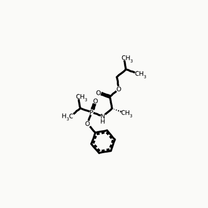 CC(C)COC(=O)[C@H](C)NP(=O)(Oc1ccccc1)C(C)C